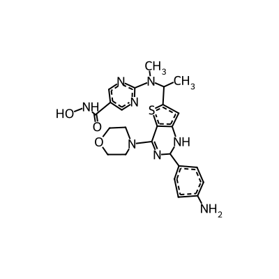 CC(c1cc2c(s1)C(N1CCOCC1)=NC(c1ccc(N)cc1)N2)N(C)c1ncc(C(=O)NO)cn1